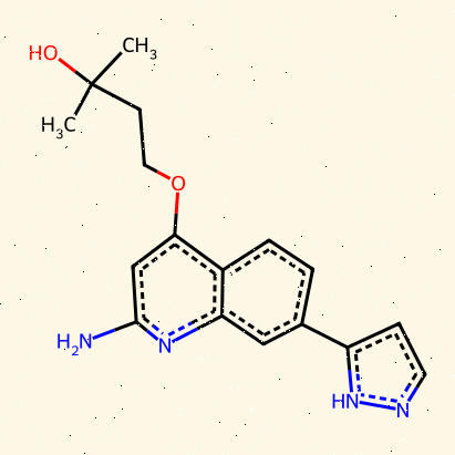 CC(C)(O)CCOc1cc(N)nc2cc(-c3ccn[nH]3)ccc12